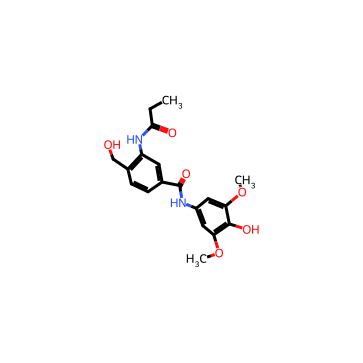 CCC(=O)Nc1cc(C(=O)Nc2cc(OC)c(O)c(OC)c2)ccc1CO